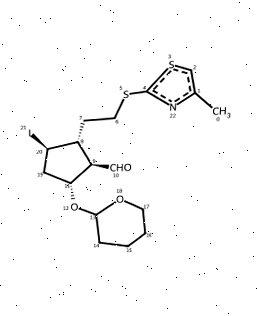 Cc1csc(SCC[C@@H]2[C@@H](C=O)[C@H](OC3CCCCO3)C[C@H]2I)n1